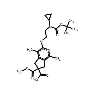 COC(=O)C1(C(=O)O)Cc2c(C)nc(OCCN(C(=O)OC(C)(C)C)C3CC3)c(C)c2C1